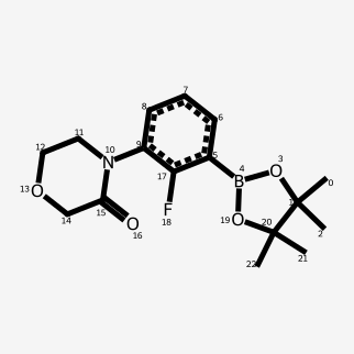 CC1(C)OB(c2cccc(N3CCOCC3=O)c2F)OC1(C)C